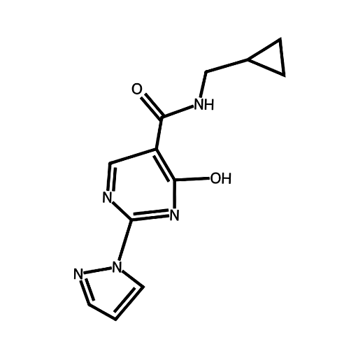 O=C(NCC1CC1)c1cnc(-n2cccn2)nc1O